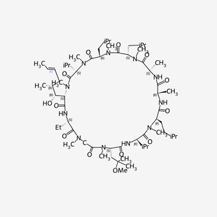 C/C=C/C[C@@H](C)[C@@H](O)[C@H]1C(=O)N[C@@H](CC)C(=O)N(C)CC(=O)N(C)[C@@H](CC(C)(C)OC)C(=O)N[C@H](C(C)C)C(=O)N(C)[C@H](CCC(C)C)C(=O)N[C@H](C)C(=O)N[C@@H](C)C(=O)N(C)[C@@H](CC(C)C)C(=O)N(C)[C@H](CC(C)C)C(=O)N(C)[C@@H](C(C)C)C(=O)N1C